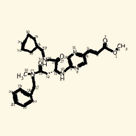 COC(=O)/C=C/c1cnc(N[C@H](CC(=O)N(C)Cc2ccccc2)C(=O)NCC2CCCCC2)cn1